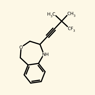 CC(C)(C#CC1COCc2ccccc2N1)C(F)(F)F